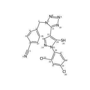 N#Cc1ccc(Cn2nnnc2-c2cnn(-c3ccc(Cl)cc3Cl)c2S)cc1